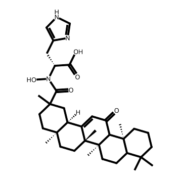 CC1(C(=O)N(O)[C@H](Cc2c[nH]cn2)C(=O)O)CC[C@]2(C)CC[C@]3(C)C(=CC(=O)C4[C@@]5(C)CCCC(C)(C)C5CC[C@]43C)[C@@H]2C1